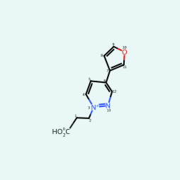 O=C(O)CC[n+]1ccc(-c2ccoc2)cn1